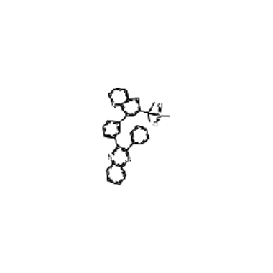 CC(C)(c1cc(-c2cccc(-c3nc4ccccc4nc3-c3ccccc3)c2)c2ncccc2c1)S(C)(=O)=O